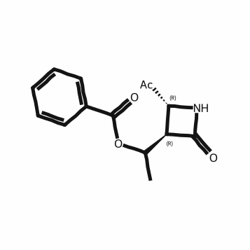 CC(=O)[C@@H]1NC(=O)[C@H]1C(C)OC(=O)c1ccccc1